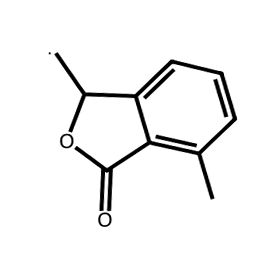 [CH2]C1OC(=O)c2c(C)cccc21